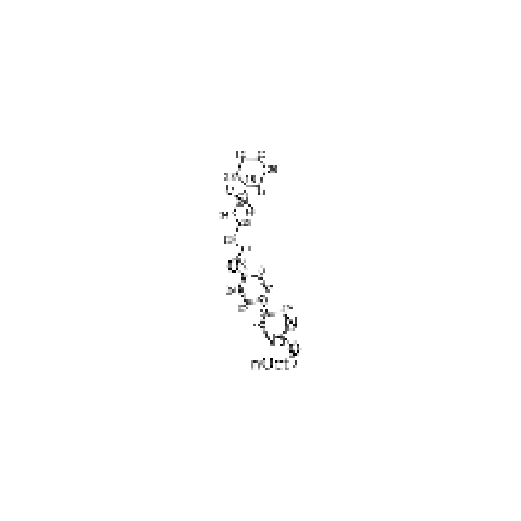 CCCCCCCCOc1ncc(-c2ccc(OCCCC[Si](C)(C)C3CCCCC3)cc2)cn1